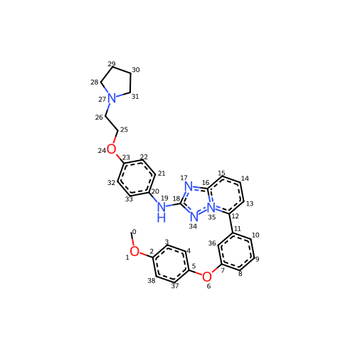 COc1ccc(Oc2cccc(-c3cccc4nc(Nc5ccc(OCCN6CCCC6)cc5)nn34)c2)cc1